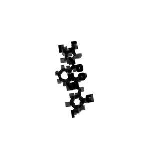 O=C([C@@H]1CCCc2nn(Cc3ccc(F)cc3Cl)c(=O)n21)N1C[C@@H](F)[C@@H](F)C1